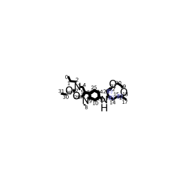 CCCN(Cc1cn(C)c2cc(NC3=C/C=C(\C)OCCO\C=C\3)ccc12)C(=O)OCC